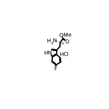 COC(=O)[C@@H](N)Cc1c[nH]c2cc(F)ccc12.Cl